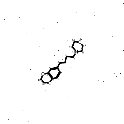 c1cc2c(cc1CCCCN1CCOCC1)OCCO2